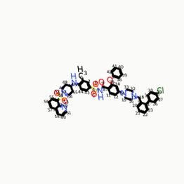 Cc1cc(S(=O)(=O)NC(=O)c2ccc(N3CCN(Cc4ccccc4-c4ccc(Cl)cc4)CC3)cc2Oc2ccccc2)ccc1NC1CCN(S(=O)(=O)c2cccc3cccnc23)CC1